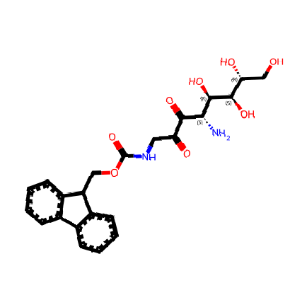 N[C@H](C(=O)C(=O)CNC(=O)OCC1c2ccccc2-c2ccccc21)[C@@H](O)[C@H](O)[C@H](O)CO